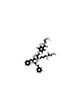 CC(C)(C)OC(=O)NCCCC[C@H](NC(=O)C(Cc1ccccc1)NC(=O)OCc1ccccc1)C(=O)COc1c(F)c(F)c(C(=O)NCCN)c(F)c1F